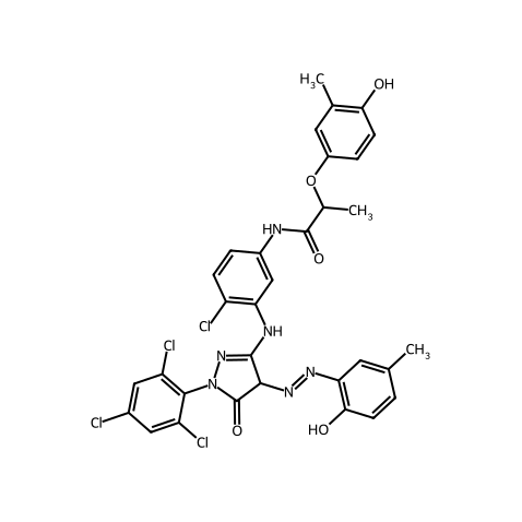 Cc1ccc(O)c(/N=N/C2C(=O)N(c3c(Cl)cc(Cl)cc3Cl)N=C2Nc2cc(NC(=O)C(C)Oc3ccc(O)c(C)c3)ccc2Cl)c1